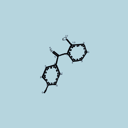 Cc1ccc(C(=S)c2ccccc2Cl)cc1